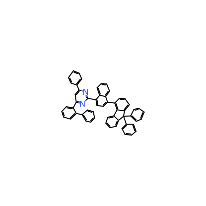 c1ccc(-c2cc(-c3ccccc3-c3ccccc3)nc(-c3ccc(-c4cccc5c4-c4ccccc4C5(c4ccccc4)c4ccccc4)c4ccccc34)n2)cc1